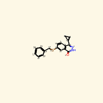 O=c1[nH]nc(C2CC2)c2ccc(SCc3ccccc3)cc12